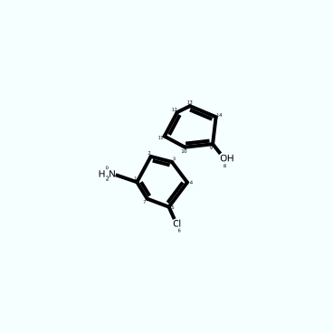 Nc1cccc(Cl)c1.Oc1ccccc1